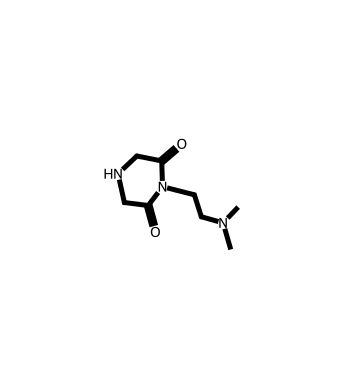 CN(C)CCN1C(=O)CNCC1=O